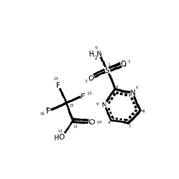 NS(=O)(=O)c1ncccn1.O=C(O)C(F)(F)F